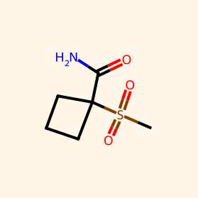 CS(=O)(=O)C1(C(N)=O)CCC1